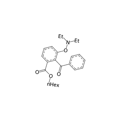 CCCCCCOC(=O)c1cccc(ON(CC)CC)c1C(=O)c1ccccc1